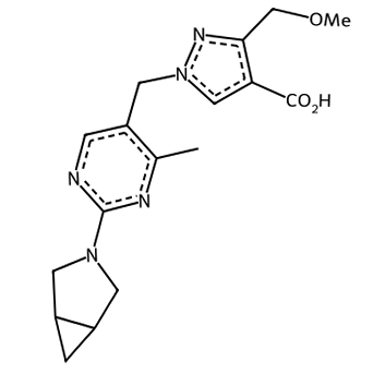 COCc1nn(Cc2cnc(N3CC4CC4C3)nc2C)cc1C(=O)O